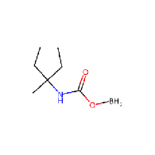 BOC(=O)NC(C)(CC)CC